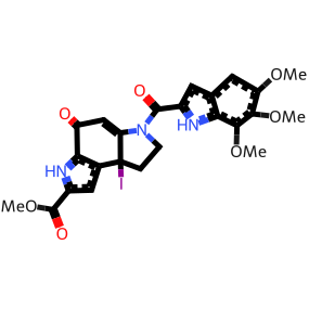 COC(=O)c1cc2c([nH]1)C(=O)C=C1N(C(=O)c3cc4cc(OC)c(OC)c(OC)c4[nH]3)CCC12I